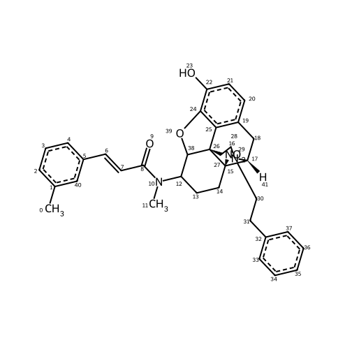 Cc1cccc(/C=C/C(=O)N(C)C2CC[C@@]3([N+](=O)[O-])[C@H]4Cc5ccc(O)c6c5[C@@]3(CCN4CCc3ccccc3)C2O6)c1